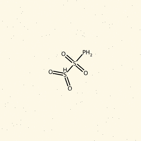 O=[SH](=O)S(=O)(=O)P